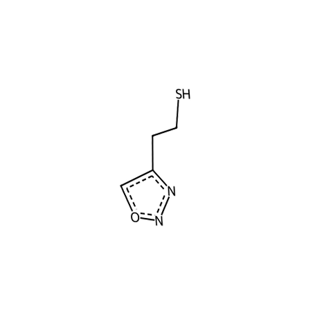 SCCc1conn1